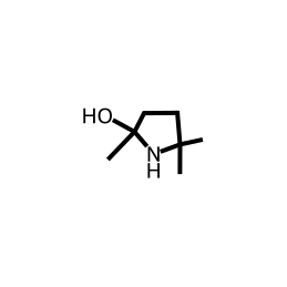 CC1(C)CCC(C)(O)N1